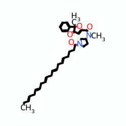 CCC=CCC=CCC=CCC=CCC=CCCCC(=O)N1CCC(N(C)C(=O)C2=CC(=O)C(C)(c3ccccc3)O2)C1